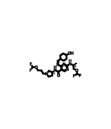 C[C@@H](COC(F)F)Nc1ncc(C(=O)N[C@H]2CCN(CCCOC(F)F)C2)c(/N=C\C2CCC(O)CC2)n1